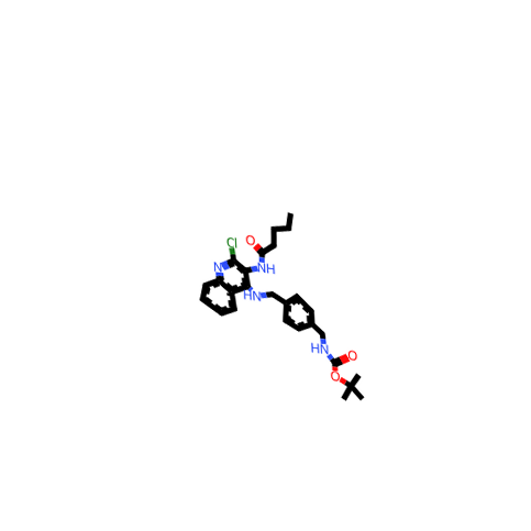 CCCCC(=O)Nc1c(Cl)nc2ccccc2c1NCc1ccc(CNC(=O)OC(C)(C)C)cc1